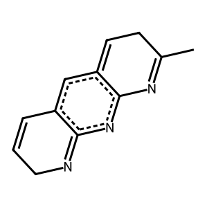 CC1=Nc2nc3c(cc2=CC1)C=CCN=3